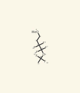 COCCC(F)(F)C(F)(F)OC(C)(F)F